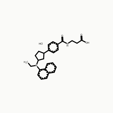 CCN(c1cccc2ccccc12)C1CCC(c2ccc(C(=O)NCCC(=O)O)cc2)C1.Cl